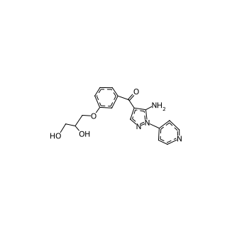 Nc1c(C(=O)c2cccc(OCC(O)CO)c2)cnn1-c1ccncc1